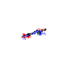 Nc1ncnc2c1n(-c1ccc(Oc3ccccc3)cc1)c(=O)n2[C@H]1CCN(C2CCN(C3CN(c4ccc5c(c4)C(=O)N(C4CCC(=O)NC4=O)C5=O)C3)CC2)CC1(F)F